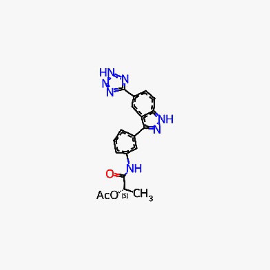 CC(=O)O[C@@H](C)C(=O)Nc1cccc(-c2n[nH]c3ccc(-c4nn[nH]n4)cc23)c1